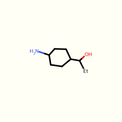 CCC(O)C1CCC(N)CC1